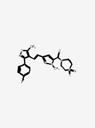 Cc1onc(-c2ccc(F)cc2)c1/C=C/c1cc(C(=O)N2CCS(=O)(=O)CC2)n(C)n1